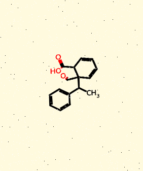 CC(c1ccccc1)C1(C=O)C=CC=CC1C(=O)O